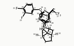 Cc1cc(N2C[C@H]3CC[C@@H](C2)[C@@H]3Nc2nc(Oc3ccc(F)c(F)c3)n(CC(F)(F)F)n2)ncn1